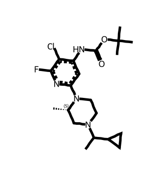 CC(C1CC1)N1CCN(c2cc(NC(=O)OC(C)(C)C)c(Cl)c(F)n2)[C@@H](C)C1